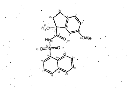 COc1ccc2c(c1)[C@@](C)(C(=O)NS(=O)(=O)c1cccc3ccccc13)CC2